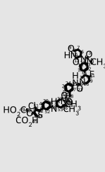 Cn1c(=O)n(C2CCC(=O)NC2=O)c2ccc([C@@H]3CN(C(=O)Nc4cccc(CS(=O)(=O)N5CC[C@H](Nc6cccc(-c7sc(C(=O)O)c(OCC(=O)O)c7Cl)c6)CC5(C)C)c4)CC[C@H]3F)cc21